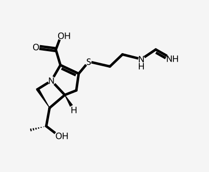 C[C@@H](O)[C@H]1CN2C(C(=O)O)=C(SCCNC=N)C[C@H]12